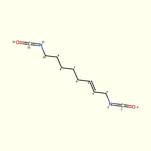 O=C=NCC=CCCCCCN=C=O